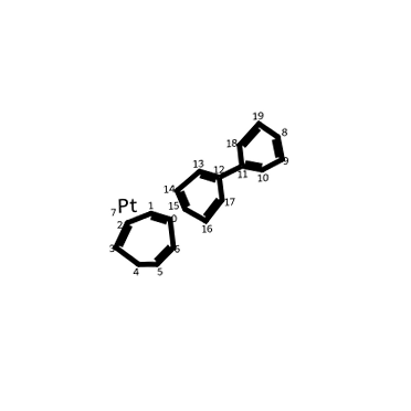 C1=CC=CCC=C1.[Pt].c1ccc(-c2ccccc2)cc1